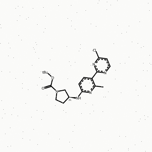 Cc1nc(N[C@H]2CCN(C(=O)OC(C)(C)C)C2)ccc1-c1nccc(Cl)n1